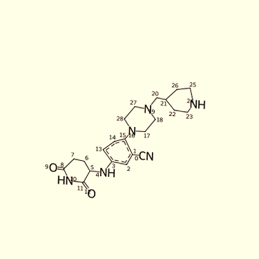 N#Cc1cc(NC2CCC(=O)NC2=O)ccc1N1CCN(CC2CCNCC2)CC1